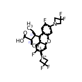 C/C=C(\C(=C/C)C(=O)O)c1c2cc(F)c(=[N+]3CC(F)(F)C3)cc-2oc2cc(N3CC(F)(F)C3)c(F)cc12